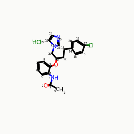 CC(=O)Nc1ccccc1OC(CCc1ccc(Cl)cc1)Cn1ccnc1.Cl